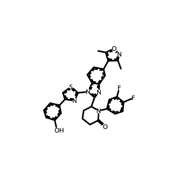 Cc1noc(C)c1-c1ccc2c(c1)nc(C1CCCC(=O)N1c1ccc(F)c(F)c1)n2-c1nc(-c2cccc(O)c2)cs1